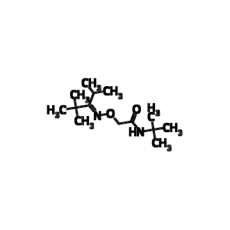 CC(C)/C(=N\OCC(=O)NC(C)(C)C)C(C)(C)C